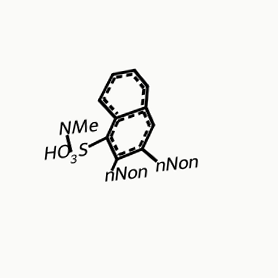 CCCCCCCCCc1cc2ccccc2c(S(=O)(=O)O)c1CCCCCCCCC.CNC